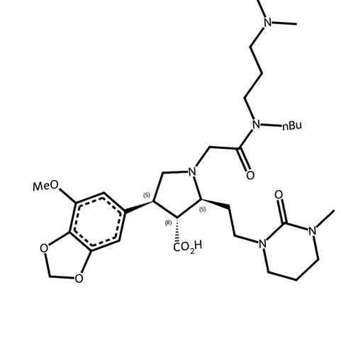 CCCCN(CCCN(C)C)C(=O)CN1C[C@H](c2cc(OC)c3c(c2)OCO3)[C@@H](C(=O)O)[C@@H]1CCN1CCCN(C)C1=O